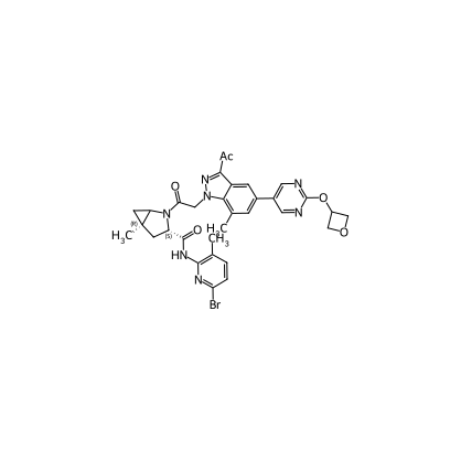 CC(=O)c1nn(CC(=O)N2C3C[C@]3(C)C[C@H]2C(=O)Nc2nc(Br)ccc2C)c2c(C)cc(-c3cnc(OC4COC4)nc3)cc12